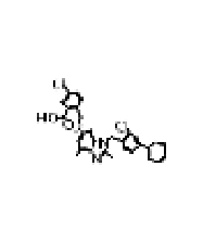 Cc1cc(OCc2ccc(Cl)cc2C(=O)O)cc2c1nc(C)n2Cc1ccc(-c2ccccc2)cc1Cl